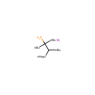 CCCCCCCC(CCCC)C(P)(CCCC)CCCC.I